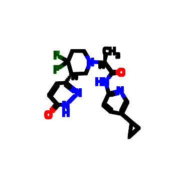 C[C@@H](C(=O)Nc1ccc(C2CC2)cn1)N1CCC(F)(F)[C@@H](c2ccc(=O)[nH]n2)C1